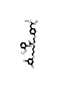 CCOC(Cc1ccc(OCCN(CCCCOc2cc(Cl)cc(Cl)c2)C(=O)Nc2ccccc2OC(F)(F)F)cc1)C(=O)O